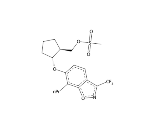 CCCc1c(O[C@@H]2CCC[C@H]2COS(C)(=O)=O)ccc2c(C(F)(F)F)noc12